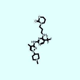 Cc1cn(C2CCN(C)CC2)nc1Nc1ncc(C(F)(F)F)c(NCCCN2CCCOC2=O)n1